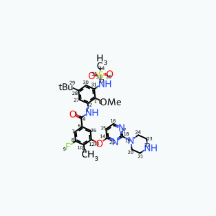 COc1c(NC(=O)c2cc(F)c(C)c(Oc3ccnc(N4CCNCC4)n3)c2)cc(C(C)(C)C)cc1NS(C)(=O)=O